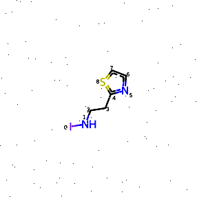 INCCc1nccs1